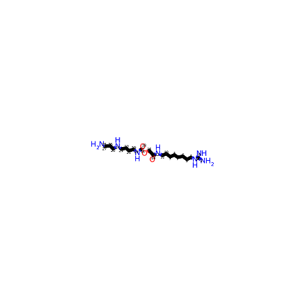 N=C(N)NCCCCCCCCNC(=O)COC(=O)NCCCCNCCCN